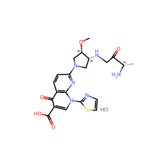 CO[C@@H]1CN(c2ccc3c(=O)c(C(=O)O)cn(-c4nccs4)c3n2)C[C@H]1NCC(=O)[C@H](C)N.Cl